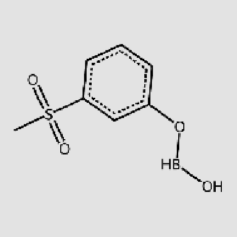 CS(=O)(=O)c1cccc(OBO)c1